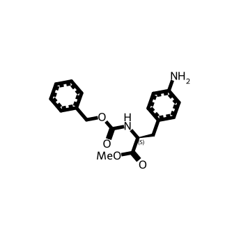 COC(=O)[C@H](Cc1ccc(N)cc1)NC(=O)OCc1ccccc1